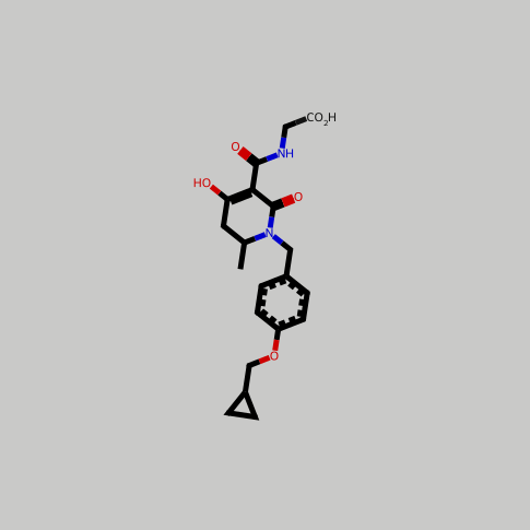 CC1CC(O)=C(C(=O)NCC(=O)O)C(=O)N1Cc1ccc(OCC2CC2)cc1